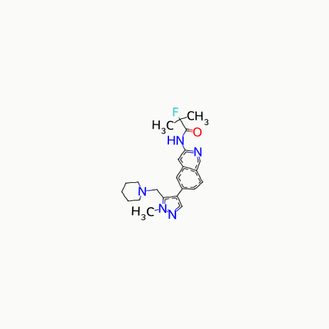 Cn1ncc(-c2ccc3cnc(NC(=O)C(C)(C)F)cc3c2)c1CN1CCCCC1